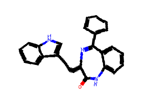 O=C1Nc2ccccc2C(c2ccccc2)=NC1Cc1c[nH]c2ccccc12